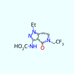 CCn1nc(NC(=O)O)c2c(=O)n(CC(F)(F)F)ccc21